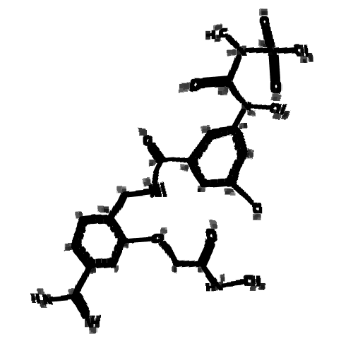 CNC(=O)COc1cc(C(=N)N)ccc1CNC(=O)c1cc(Cl)cc(N(C)C(=O)N(C)S(C)(=O)=O)c1